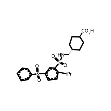 CC(C)c1ccc(S(=O)(=O)c2ccccc2)cc1S(=O)(=O)NC[C@H]1CC[C@H](C(=O)O)CC1